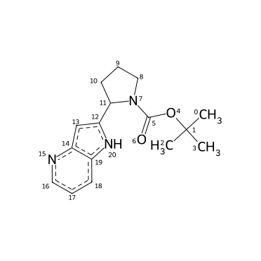 CC(C)(C)OC(=O)N1CCCC1c1cc2ncccc2[nH]1